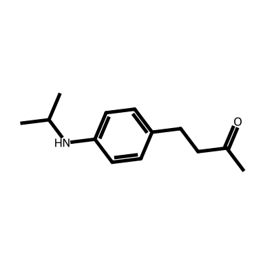 CC(=O)CCc1ccc(NC(C)C)cc1